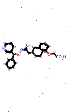 C/C(CC1CCc2c(cccc2OCC(=O)O)C1)=N/OC(c1ccccc1)c1cccnc1